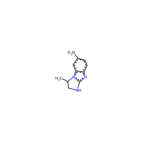 CC1CNc2nc3ccc([N+](=O)[O-])cc3n21